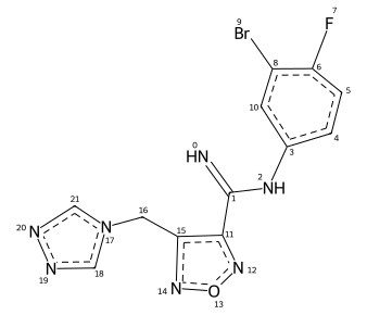 N=C(Nc1ccc(F)c(Br)c1)c1nonc1Cn1cnnc1